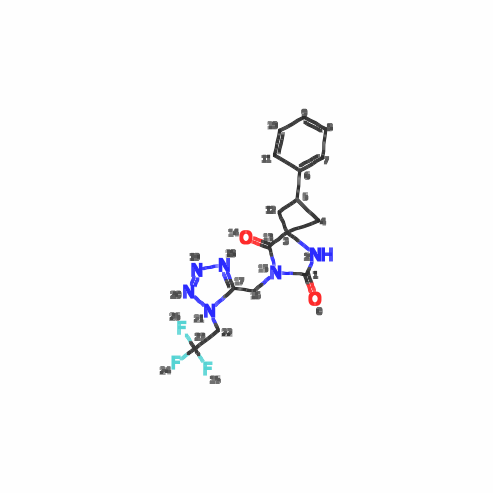 O=C1NC2(CC(c3ccccc3)C2)C(=O)N1Cc1nnnn1CC(F)(F)F